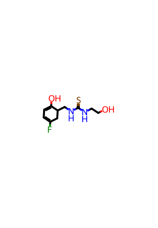 OCCNC(=S)NCC1CC(F)=CC=C1O